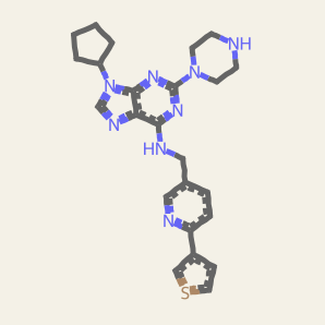 c1cc(-c2ccc(CNc3nc(N4CCNCC4)nc4c3ncn4C3CCCC3)cn2)cs1